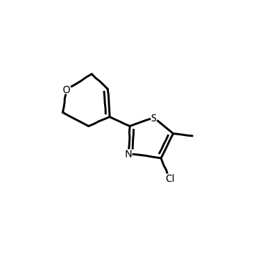 Cc1sc(C2=CCOCC2)nc1Cl